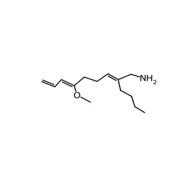 C=C/C=C(/CC/C=C(/CN)CCCC)OC